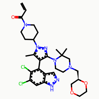 C=CC(=O)N1CCC(n2nc(N3CCN(C[C@@H]4COCCO4)CC3(C)C)c(-c3c(Cl)c(Cl)cc4[nH]ncc34)c2C)CC1